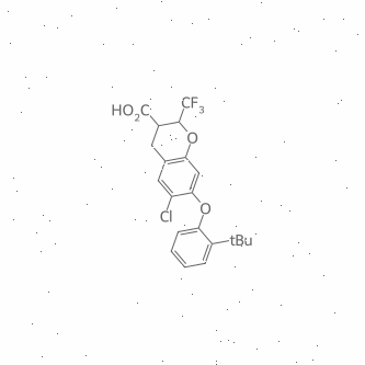 CC(C)(C)c1ccccc1Oc1cc2c(cc1Cl)CC(C(=O)O)C(C(F)(F)F)O2